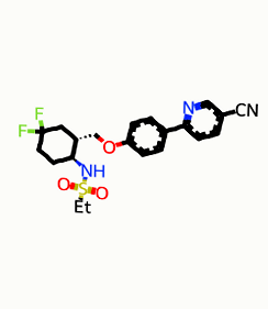 CCS(=O)(=O)N[C@H]1CCC(F)(F)C[C@@H]1COc1ccc(-c2ccc(C#N)cn2)cc1